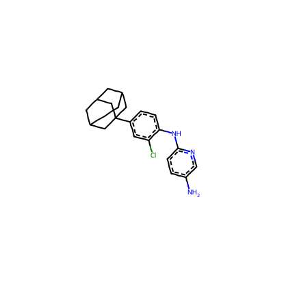 Nc1ccc(Nc2ccc(C34CC5CC(CC(C5)C3)C4)cc2Cl)nc1